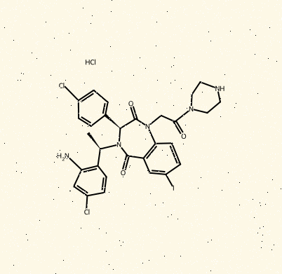 C[C@H](c1ccc(Cl)cc1N)N1C(=O)c2cc(I)ccc2N(CC(=O)N2CCNCC2)C(=O)[C@@H]1c1ccc(Cl)cc1.Cl